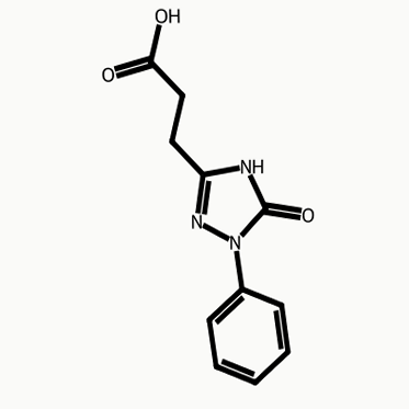 O=C(O)CCc1nn(-c2ccccc2)c(=O)[nH]1